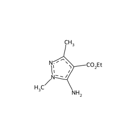 CCOC(=O)c1c(C)nn(C)c1N